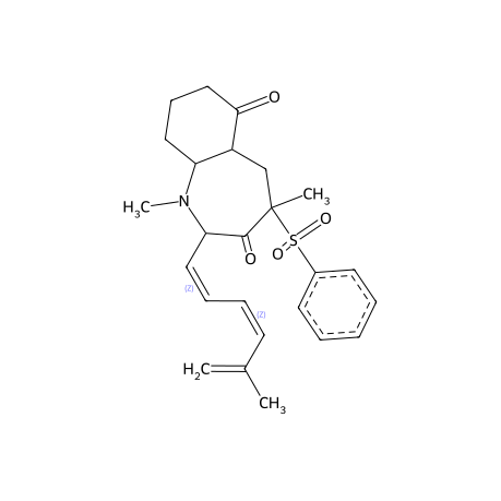 C=C(C)/C=C\C=C/C1C(=O)C(C)(S(=O)(=O)c2ccccc2)CC2C(=O)CCCC2N1C